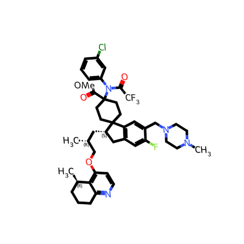 COC(=O)C1(N(C(=O)C(F)(F)F)c2cccc(Cl)c2)CCC2(CC1)c1cc(CN3CCN(C)CC3)c(F)cc1C[C@@H]2C[C@@H](C)COc1ccnc2c1[C@H](C)CCC2